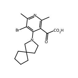 Cc1nc(C)c(C(=O)C(=O)O)c(N2CCC3(CCCC3)C2)c1Br